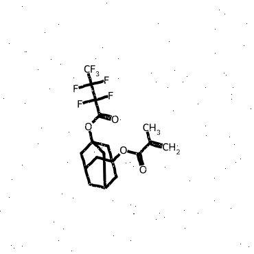 C=C(C)C(=O)OC12CC3CC(C1)CC(OC(=O)C(F)(F)C(F)(F)C(F)(F)F)(C3)C2